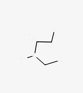 CCC(C)CN(C)[C@@H](CC(C)C)C(=O)O